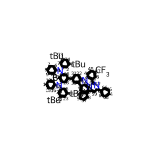 CC(C)(C)c1cc(N2c3ccccc3B3c4ccccc4N(c4cc(C(C)(C)C)cc(C(C)(C)C)c4)c4cc(-c5ccc6c(c5)c5ccccc5n6-c5ccc(C(F)(F)F)cc5-c5nc(-c6ccccc6)cc(-c6ccccc6)n5)cc2c43)cc(C(C)(C)C)c1